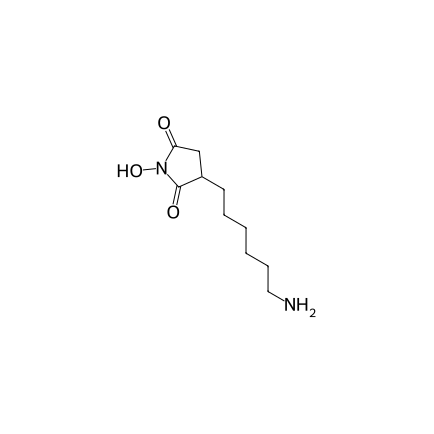 NCCCCCCC1CC(=O)N(O)C1=O